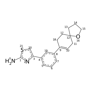 Nc1nc(-c2cccc(C3=CCC4(CCCO4)CC3)c2)cs1